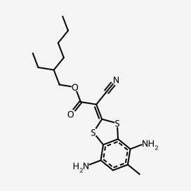 CCCCC(CC)COC(=O)/C(C#N)=C1\Sc2c(N)cc(C)c(N)c2S1